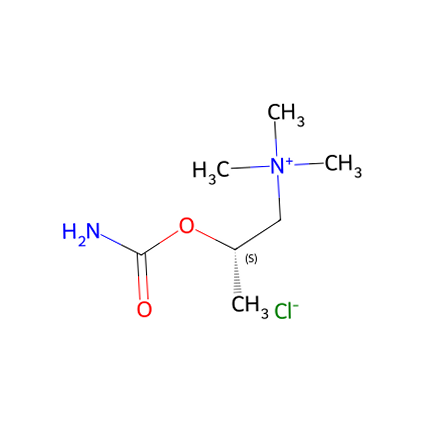 C[C@@H](C[N+](C)(C)C)OC(N)=O.[Cl-]